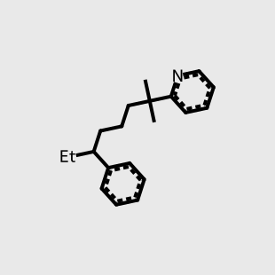 CCC(CCCC(C)(C)c1ccccn1)c1ccccc1